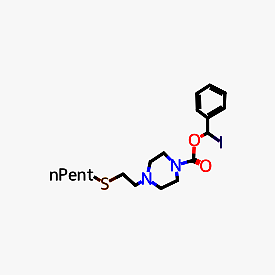 CCCCCSCCN1CCN(C(=O)OC(I)c2ccccc2)CC1